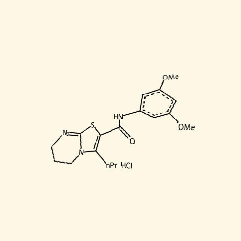 CCCC1=C(C(=O)Nc2cc(OC)cc(OC)c2)SC2=NCCCN21.Cl